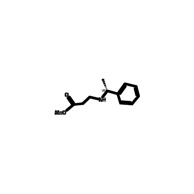 COC(=O)CCN[C@H](C)c1ccccc1